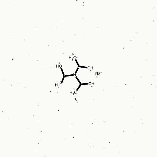 CC(O)N(C(C)O)C(C)O.[Cl-].[Na+]